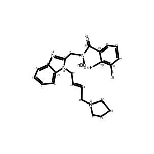 CCCCN(Cc1nc2ccccc2n1CC=CCN1CCCC1)C(=O)c1cccc(F)c1F